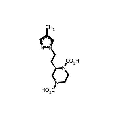 Cc1cnn(CC[C@@H]2CN(C(=O)O)CCN2C(=O)O)c1